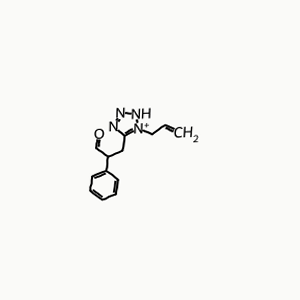 C=CC[n+]1[nH]nnc1CC(C=O)c1ccccc1